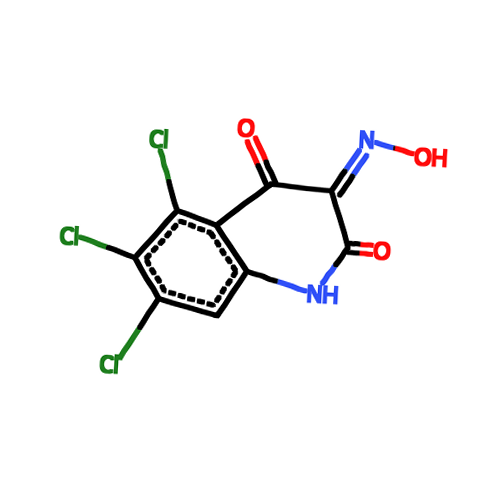 O=C1Nc2cc(Cl)c(Cl)c(Cl)c2C(=O)C1=NO